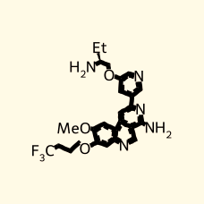 CC[C@H](N)COc1cncc(-c2cc3c(cnc4cc(OCCCC(F)(F)F)c(OC)cc43)c(N)n2)c1